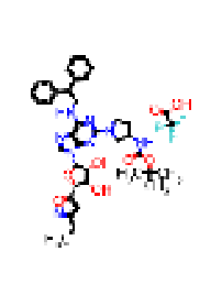 CCc1cc([C@H]2O[C@@H](n3cnc4c(NCC(c5ccccc5)c5ccccc5)nc(N5CC[C@@H](NC(=O)OC(C)(C)C)C5)nc43)[C@H](O)[C@@H]2O)on1.O=C(O)C(F)(F)F